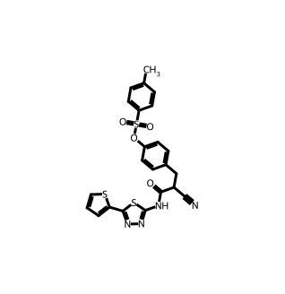 Cc1ccc(S(=O)(=O)Oc2ccc(CC(C#N)C(=O)Nc3nnc(-c4cccs4)s3)cc2)cc1